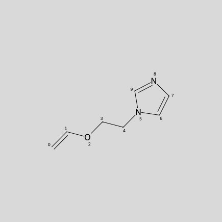 C=COCCn1ccnc1